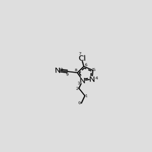 CCCn1n[c]c(Cl)c1C#N